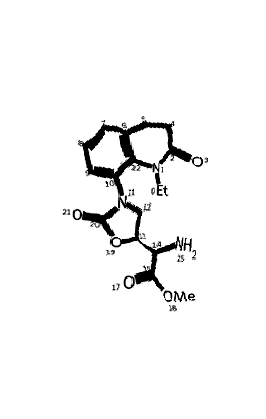 CCN1C(=O)CCc2cccc(N3C[C@@H](C(N)C(=O)OC)OC3=O)c21